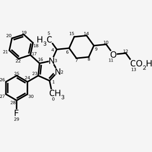 Cc1nn(C(C)C2CCC(COCC(=O)O)CC2)c(-c2ccccc2)c1-c1cccc(F)c1